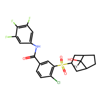 CCC1(O)C2CCC1CC(S(=O)(=O)c1cc(C(=O)Nc3cc(F)c(F)c(F)c3)ccc1Cl)C2